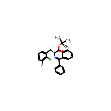 CC(C)(C)OC(=O)[C@H](Cc1cccc(F)c1F)N=C(c1ccccc1)c1ccccc1